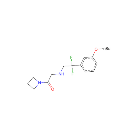 CCCCOc1cccc(C(F)(F)CNCC(=O)N2CCC2)c1